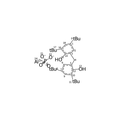 CC(C)(C)c1cc(Cc2cc(C(C)(C)C)cc(C(C)(C)C)c2O)c(O)c(C(C)(C)C)c1.O=P([O-])([O-])[O-].[Al+3]